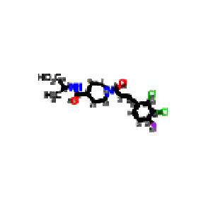 CC(NC(=O)C1CCN(C(=O)C=Cc2ccc(I)c(Cl)c2Cl)CC1)C(=O)O